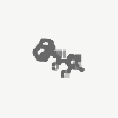 Cn1ncc(C(=O)NC23CC4CC(CC(C4)C2)C3)c1Cl